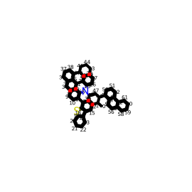 CC1C=CC(N(c2ccccc2-c2cccc3c2sc2ccccc23)c2ccccc2-c2cccc3cccc(C4CCCCC4)c23)=CC1c1cccc2c1ccc1ccccc12